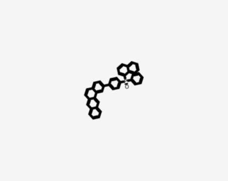 O=P(c1ccccc1)(c1ccc(-c2ccc3ccc4cc5ccccc5cc4c3c2)cc1)c1cccc2ccccc12